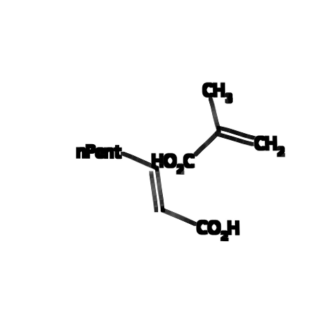 C=C(C)C(=O)O.CCCCCC=CC(=O)O